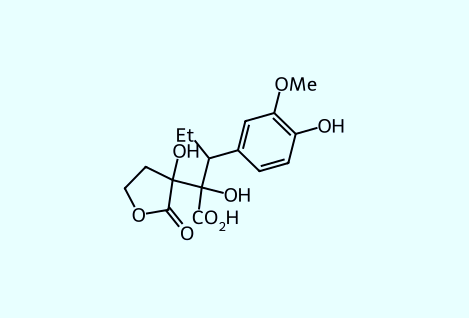 CCC(c1ccc(O)c(OC)c1)C(O)(C(=O)O)C1(O)CCOC1=O